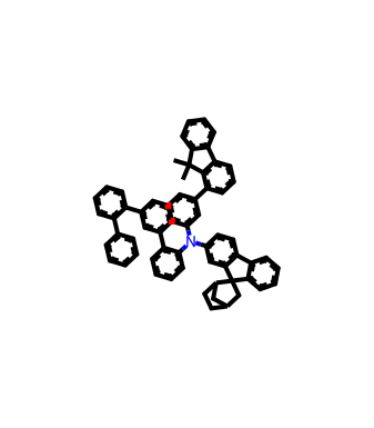 CC1(C)c2ccccc2-c2cccc(-c3cccc(N(c4ccc5c(c4)C4(CC6CCC4C6)c4ccccc4-5)c4ccccc4-c4cccc(-c5ccccc5-c5ccccc5)c4)c3)c21